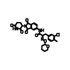 Cc1ccc(C/C(=N\OC2CCCCO2)C(=O)Nc2ccc3c(c2)C(=O)N(C2CCC(=O)NC2=O)C3=O)cc1Cl